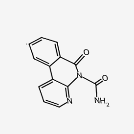 NC(=O)n1c(=O)c2cc[c]cc2c2cccnc21